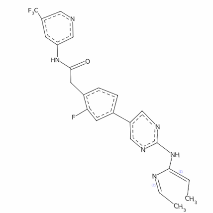 C/C=N\C(=C/C)Nc1ncc(-c2ccc(CC(=O)Nc3cncc(C(F)(F)F)c3)c(F)c2)cn1